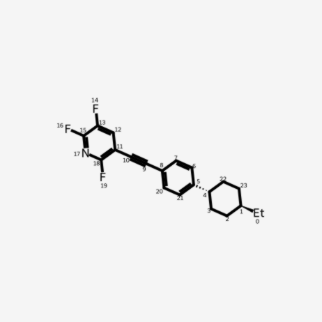 CC[C@H]1CC[C@H](c2ccc(C#Cc3cc(F)c(F)nc3F)cc2)CC1